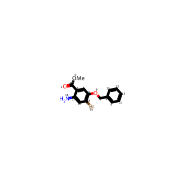 COC(=O)c1cc(OCc2ccccc2)c(Br)cc1N